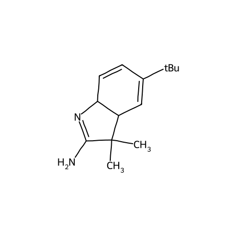 CC(C)(C)C1=CC2C(C=C1)N=C(N)C2(C)C